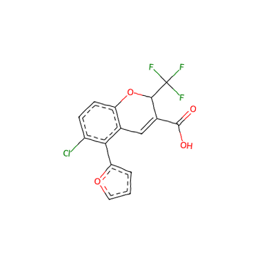 O=C(O)C1=Cc2c(ccc(Cl)c2-c2ccco2)OC1C(F)(F)F